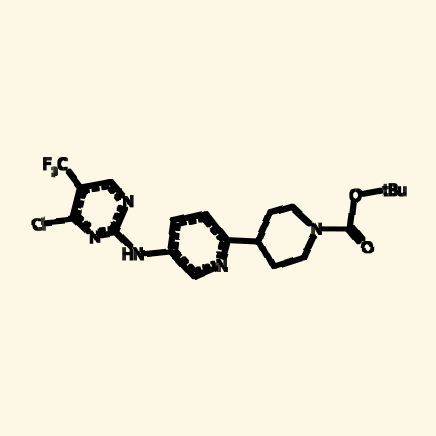 CC(C)(C)OC(=O)N1CCC(c2ccc(Nc3ncc(C(F)(F)F)c(Cl)n3)cn2)CC1